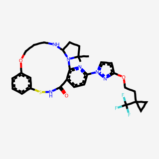 CC1(C)CCC2NCCCOc3cccc(c3)SNC(=O)c3ccc(-n4ccc(OCCC5(C(F)(F)F)CC5)n4)nc3N21